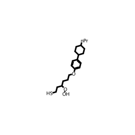 CCCC1CCC(c2ccc(OCCCC(CCS)OO)cc2)CC1